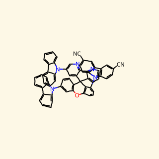 N#Cc1ccc2c(c1)c1cc(C#N)ccc1n2-c1cccc2c1C1(c3ccc(-n4c5ccccc5c5ccccc54)cc3O2)c2cccnc2-c2ncc(-n3c4ccccc4c4ccccc43)cc21